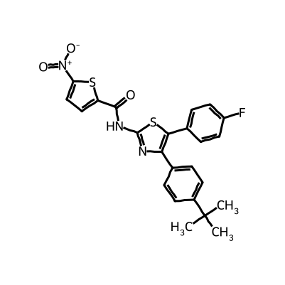 CC(C)(C)c1ccc(-c2nc(NC(=O)c3ccc([N+](=O)[O-])s3)sc2-c2ccc(F)cc2)cc1